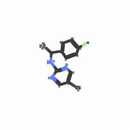 N#Cc1cnc(NC(c2ccc(F)cc2)C(F)(F)F)nc1